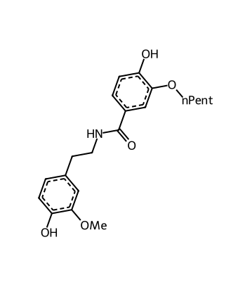 CCCCCOc1cc(C(=O)NCCc2ccc(O)c(OC)c2)ccc1O